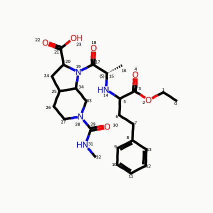 CCOC(=O)C(CCc1ccccc1)N[C@@H](C)C(=O)N1C(C(=O)O)CC2CCN(C(=O)NC)CC21